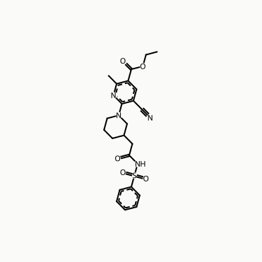 CCOC(=O)c1cc(C#N)c(N2CCCC(CC(=O)NS(=O)(=O)c3ccccc3)C2)nc1C